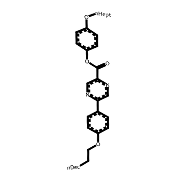 CCCCCCCCCCCCOc1ccc(-c2cnc(C(=O)Oc3ccc(OCCCCCCC)cc3)cn2)cc1